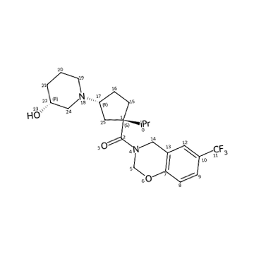 CC(C)[C@]1(C(=O)N2COc3ccc(C(F)(F)F)cc3C2)CC[C@@H](N2CCC[C@@H](O)C2)C1